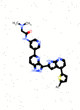 CC(=O)c1ccc(-c2ccnc3[nH]c(-c4n[nH]c5ccc(-c6cncc(NC(=O)CN(C)C)c6)nc45)cc23)s1